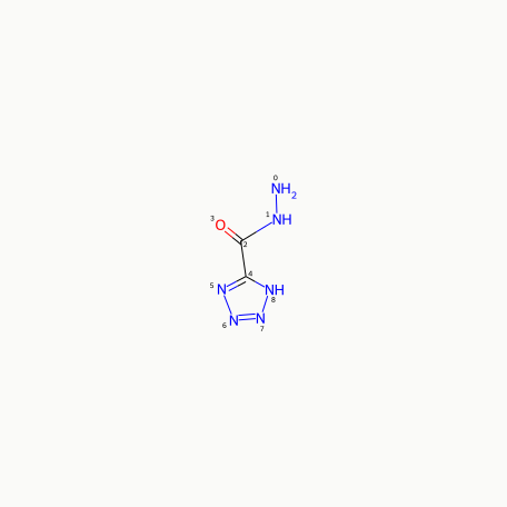 NNC(=O)c1nnn[nH]1